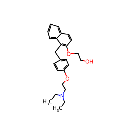 CCN(CC)CCOc1ccc(Cc2c(OCCO)ccc3ccccc23)cc1